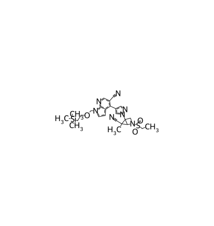 CCS(=O)(=O)N1CC2(n3cc(-c4c(C#N)cnc5c4ccn5COCC[Si](C)(C)C)cn3)C1C2(C)C#N